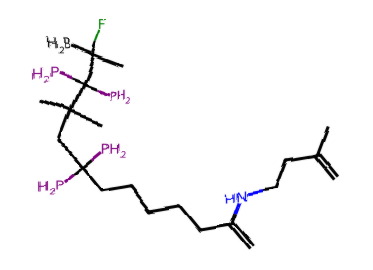 BC(C)(F)C(P)(P)C(C)(C)CC(P)(P)CCCCCC(=C)NCCC(=C)C